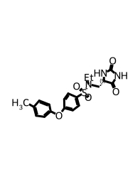 CCN(C[C@@H]1NC(=O)NC1=O)S(=O)(=O)c1ccc(Oc2ccc(C)cc2)cc1